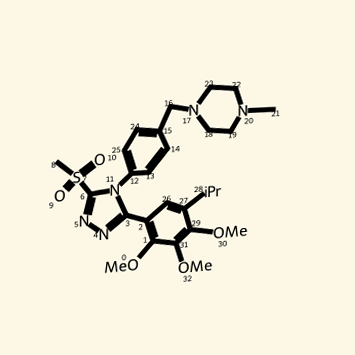 COc1c(-c2nnc(S(C)(=O)=O)n2-c2ccc(CN3CCN(C)CC3)cc2)cc(C(C)C)c(OC)c1OC